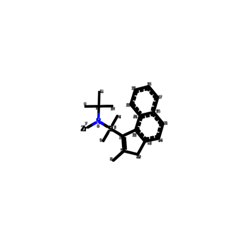 CC1=C([Si](C)(C)[N]([Zr])C(C)(C)C)c2c(ccc3ccccc23)C1